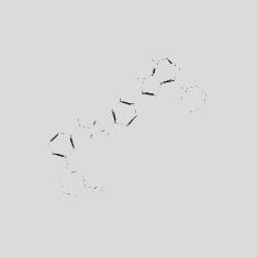 CC(c1cccc(N2CCCC(N)C2)c1)S(=O)(=O)Nc1ccc(-c2cc3c(N4CCOCC4)ncnc3[nH]2)c(F)c1